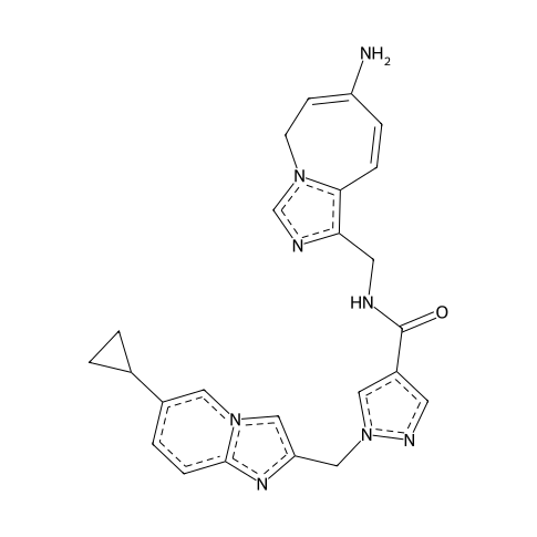 NC1=CCn2cnc(CNC(=O)c3cnn(Cc4cn5cc(C6CC6)ccc5n4)c3)c2C=C1